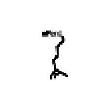 CCCCCCCCCC1OC1C